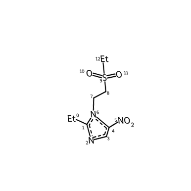 CCc1ncc([N+](=O)[O-])n1CCS(=O)(=O)CC